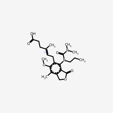 CCCN(C(=O)N(C)C)c1c(C/C=C(\C)CCC(=O)O)c(OC)c(C)c2c1C(=O)OC2